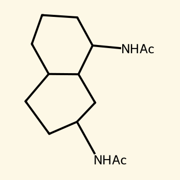 CC(=O)NC1CCC2CCCC(NC(C)=O)C2C1